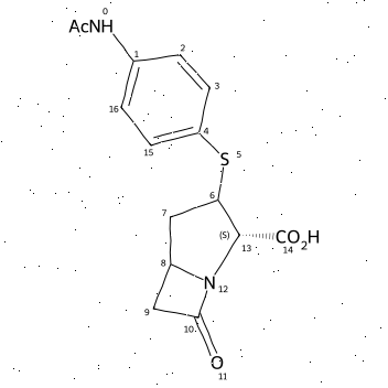 CC(=O)Nc1ccc(SC2CC3CC(=O)N3[C@H]2C(=O)O)cc1